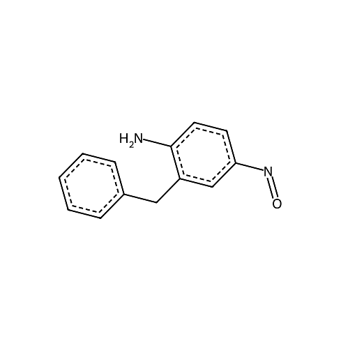 Nc1ccc(N=O)cc1Cc1ccccc1